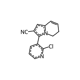 N#Cc1cc2n(c1-c1cccnc1Cl)CCC=C2